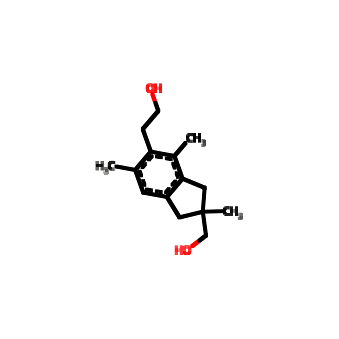 Cc1cc2c(c(C)c1CCO)CC(C)(CO)C2